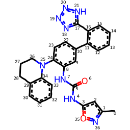 Cc1cc(NC(=O)Nc2cc(-c3ccccc3-c3nnn[nH]3)ccc2N2CCCc3ccccc32)on1